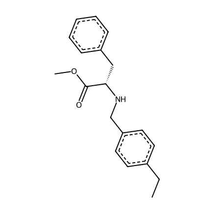 CCc1ccc(CN[C@@H](Cc2ccccc2)C(=O)OC)cc1